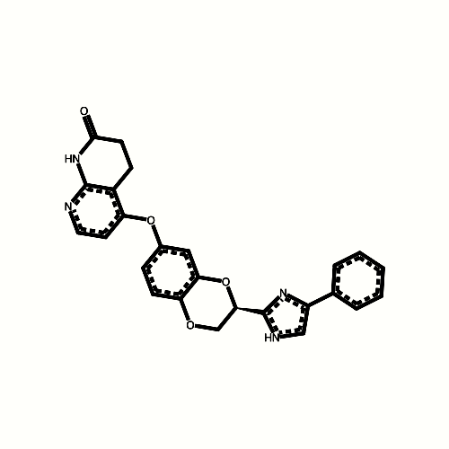 O=C1CCc2c(Oc3ccc4c(c3)O[C@@H](c3nc(-c5ccccc5)c[nH]3)CO4)ccnc2N1